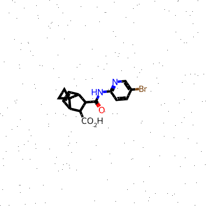 O=C(O)C1C(C(=O)Nc2ccc(Br)cn2)C2C=CC1C21CC1